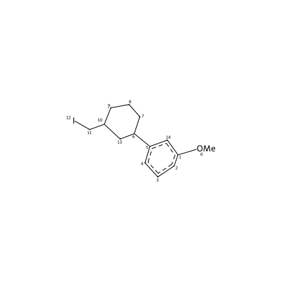 COc1cccc(C2CC[CH]C(CI)C2)c1